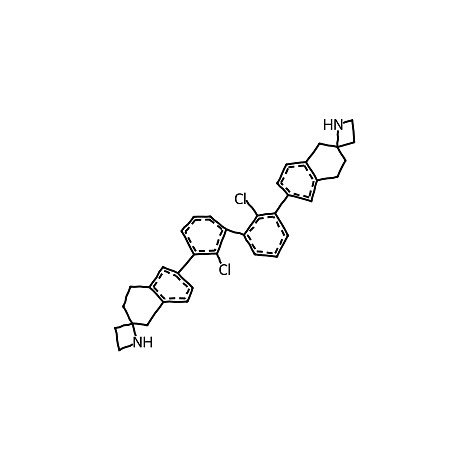 Clc1c(-c2ccc3c(c2)CCC2(CCN2)C3)cccc1-c1cccc(-c2ccc3c(c2)CCC2(CCN2)C3)c1Cl